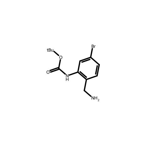 CC(C)(C)OC(=O)Nc1cc(Br)ccc1CN